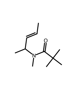 CC=CC(C)N(C)C(=O)C(C)(C)C